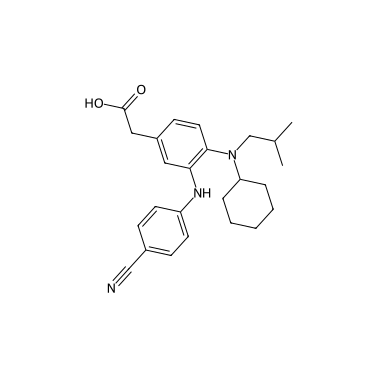 CC(C)CN(c1ccc(CC(=O)O)cc1Nc1ccc(C#N)cc1)C1CCCCC1